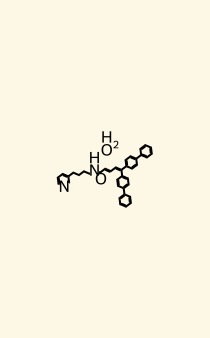 O.O=C(/C=C/C=C(c1ccc(-c2ccccc2)cc1)c1ccc(-c2ccccc2)cc1)NCCCCc1cccnc1